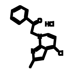 Cc1cc2c(Cl)ccn(CC(=O)c3ccccc3)c-2n1.Cl